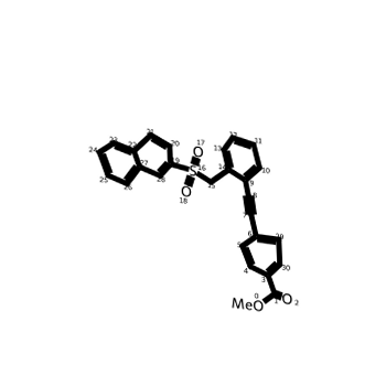 COC(=O)c1ccc(C#Cc2ccccc2CS(=O)(=O)c2ccc3ccccc3c2)cc1